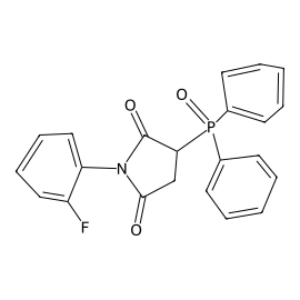 O=C1CC(P(=O)(c2ccccc2)c2ccccc2)C(=O)N1c1ccccc1F